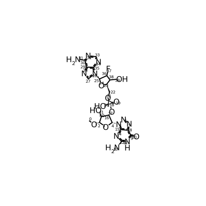 CO[C@H]1O[C@@H](n2nnc3c(=O)[nH]c(N)nc32)C(OP(=O)(O)OC[C@H]2O[C@@H](n3cnc4c(N)ncnc43)C(F)C2O)C1O